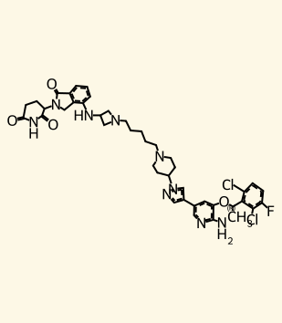 C[C@@H](Oc1cc(-c2cnn(C3CCN(CCCCCN4CC(Nc5cccc6c5CN(C5CCC(=O)NC5=O)C6=O)C4)CC3)c2)cnc1N)c1c(Cl)ccc(F)c1Cl